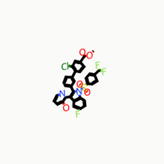 COC(=O)c1ccc(-c2cccc(-c3c(-c4ncccc4OC)c4cc(F)ccc4n3S(=O)(=O)c3ccc(C(F)F)cc3)c2)c(Cl)c1